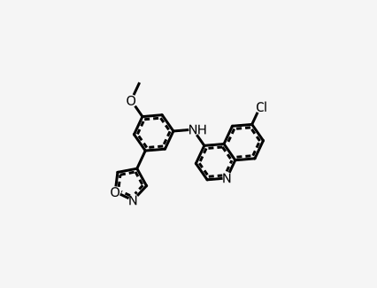 COc1cc(Nc2ccnc3ccc(Cl)cc23)cc(-c2cnoc2)c1